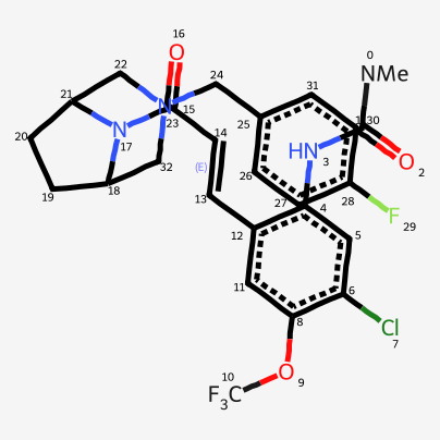 CNC(=O)Nc1cc(Cl)c(OC(F)(F)F)cc1/C=C/C(=O)N1C2CCC1CN(Cc1ccc(F)cc1)C2